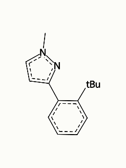 Cn1ccc(-c2ccccc2C(C)(C)C)n1